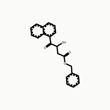 O=C(CC(O)C(=O)c1cccc2ccccc12)OCc1ccccc1